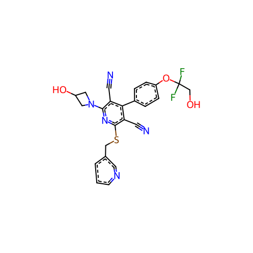 N#Cc1c(SCc2cccnc2)nc(N2CC(O)C2)c(C#N)c1-c1ccc(OC(F)(F)CO)cc1